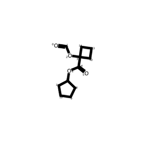 O=[C]OC1(C(=O)OC2CCCC2)CCC1